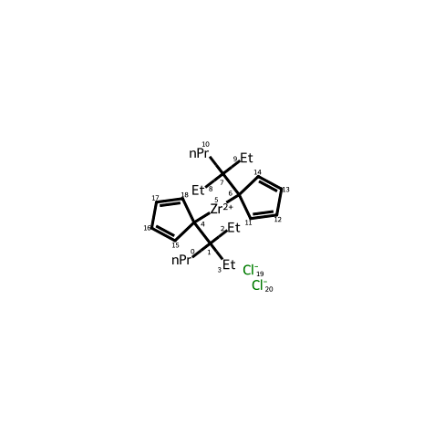 CCCC(CC)(CC)[C]1([Zr+2][C]2(C(CC)(CC)CCC)C=CC=C2)C=CC=C1.[Cl-].[Cl-]